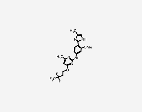 COc1cc(Nc2nc(C)cc(OCCC(F)(F)C(F)(F)F)n2)ccc1-c1nc(C)c[nH]1